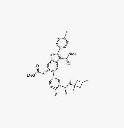 CNC(=O)c1c(-c2ccc(F)cc2)oc2cc(CC(=O)OC)c(-c3ccc(F)c(C(=O)NC4(C)CC(C)C4)c3)cc12